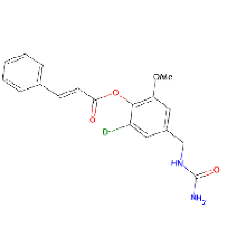 COc1cc(CNC(N)=O)cc(Br)c1OC(=O)/C=C/c1ccccc1